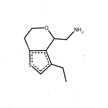 CCc1csc2c1C(CN)OCC2